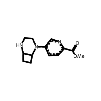 COC(=O)c1ccc(N2CCNC3CCC32)cn1